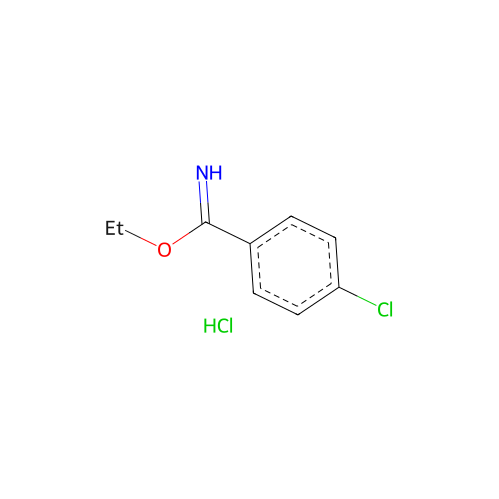 CCOC(=N)c1ccc(Cl)cc1.Cl